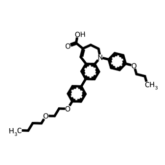 CCCCOCCOc1ccc(-c2ccc3c(c2)C=C(C(=O)O)CCN3c2ccc(OCCC)cc2)cc1